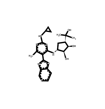 Cc1nc(NC2CC2)nc(N[C@@H]2C[C@H](C(C)(C)O)[C@@H](O)[C@H]2O)c1-c1nc2cnccc2s1